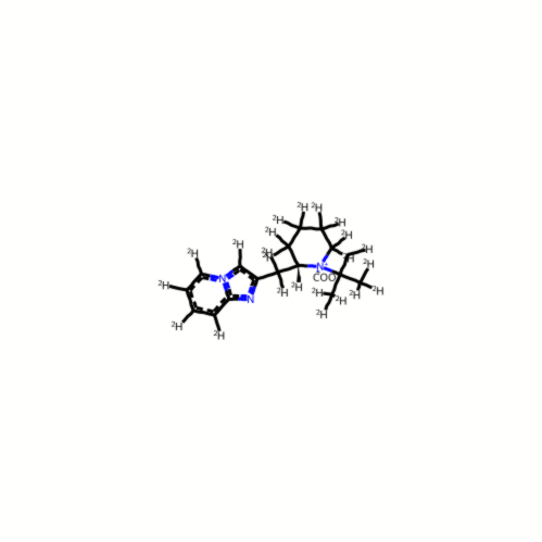 [2H]CC(C([2H])([2H])[2H])(C([2H])([2H])[2H])[N+]1(C(=O)[O-])C([2H])([2H])C([2H])([2H])C([2H])([2H])C([2H])([2H])[C@@]1([2H])C([2H])([2H])c1nc2c([2H])c([2H])c([2H])c([2H])n2c1[2H]